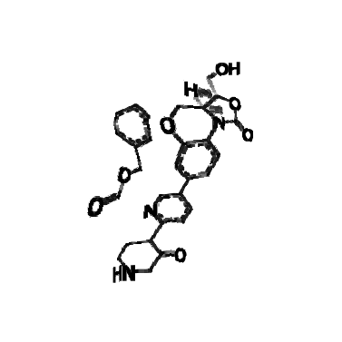 O=C1CNCCC1c1ccc(-c2ccc3c(c2)OC[C@H]2[C@H](CO)OC(=O)N32)cn1.O=COCc1ccccc1